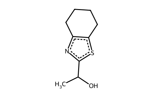 CC(O)c1nc2c(s1)CCCC2